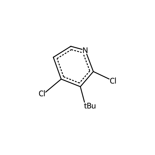 CC(C)(C)c1c(Cl)ccnc1Cl